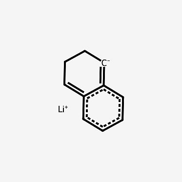 [C-]1=c2ccccc2=CCC1.[Li+]